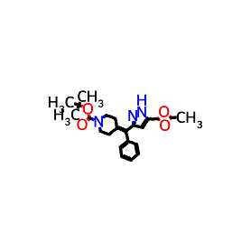 CC1OC(c2cc(C(=C3CCN(C(=O)OC(C)(C)C)CC3)c3ccccc3)n[nH]2)O1